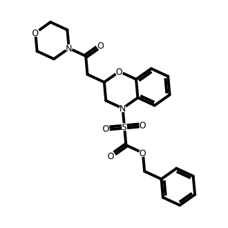 O=C(CC1CN(S(=O)(=O)C(=O)OCc2ccccc2)c2ccccc2O1)N1CCOCC1